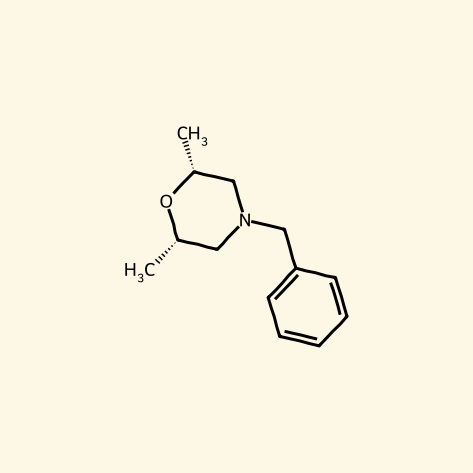 C[C@@H]1CN(Cc2ccccc2)C[C@H](C)O1